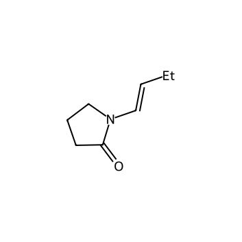 CC/C=C/N1CCCC1=O